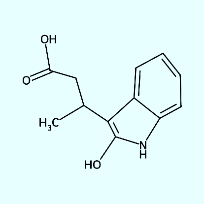 CC(CC(=O)O)c1c(O)[nH]c2ccccc12